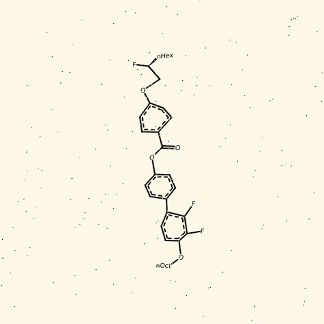 CCCCCCCCOc1ccc(-c2ccc(OC(=O)c3ccc(OC[C@@H](F)CCCCCC)cc3)cc2)c(F)c1F